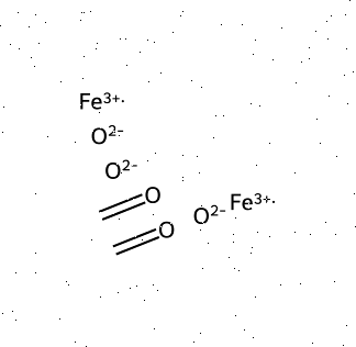 C=O.C=O.[Fe+3].[Fe+3].[O-2].[O-2].[O-2]